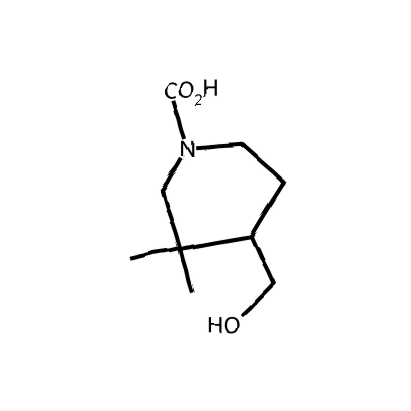 CC1(C)CN(C(=O)O)CCC1CO